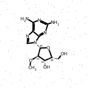 CO[C@@H]1[C@@H](O)[C@@H](CO)O[C@H]1n1cnc2c(N)nc(N)nc21